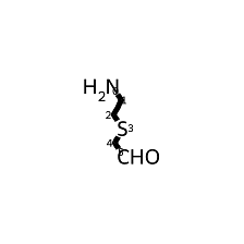 NCCSCC=O